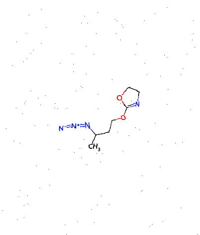 CC(CCOC1=NCCO1)N=[N+]=[N-]